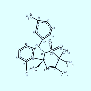 CC1(C)C(N)=N[C@](C)(c2ccccc2F)[C@H](Cc2cccc(C(F)(F)F)c2)S1(=O)=O